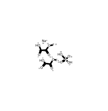 O=C(O)C(=O)OF.O=C(O)C(=O)OF.O=P([O-])(O)O.[Na+]